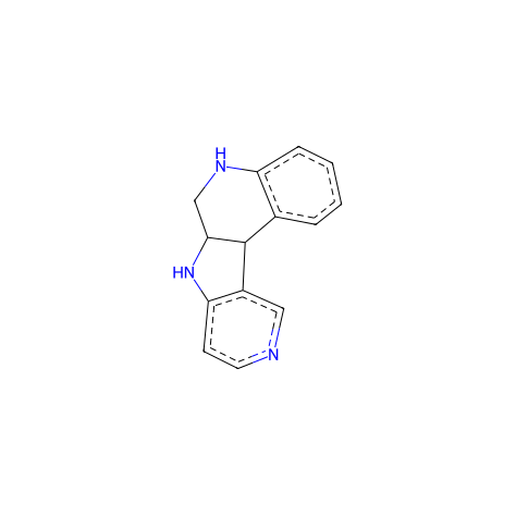 c1ccc2c(c1)NCC1Nc3ccncc3C21